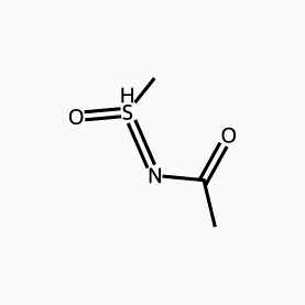 CC(=O)/N=[SH](\C)=O